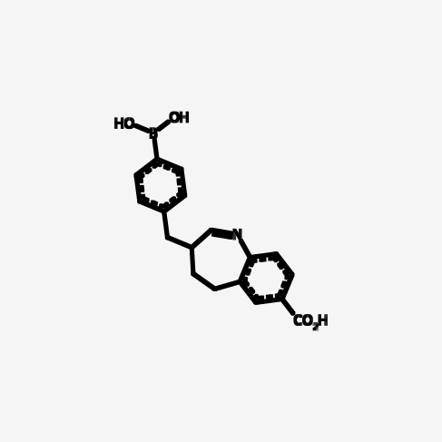 O=C(O)c1ccc2c(c1)CCC(Cc1ccc(B(O)O)cc1)C=N2